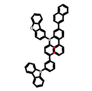 c1ccc(-c2ccc(-c3ccc4ccccc4c3)cc2N(c2ccc(-c3cccc(-n4c5ccccc5c5ccccc54)c3)cc2)c2ccc3oc4ccccc4c3c2)cc1